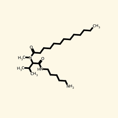 CCCCCCCCCCCCC(=O)N(C)C(C(=O)NCCCCCN)C(C)C